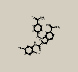 N=C(N)c1ccc2cc(C(=O)Nc3cc(F)ccc3F)n(Cc3ccc(C(N)=O)cc3)c2c1